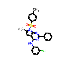 Cc1ccc(S(=O)(=O)n2c(C)cc3c(Nc4cccc(Cl)c4)nc(-c4ccccc4)nc32)cc1